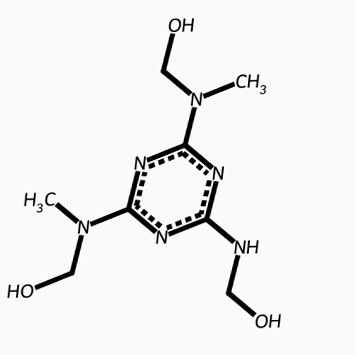 CN(CO)c1nc(NCO)nc(N(C)CO)n1